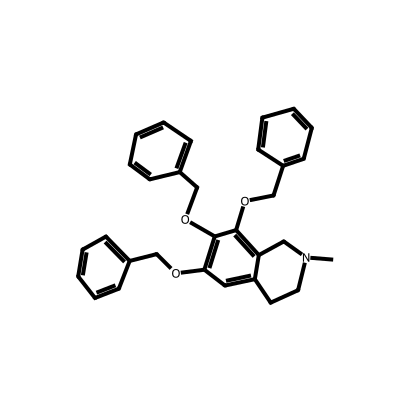 CN1CCc2cc(OCc3ccccc3)c(OCc3ccccc3)c(OCc3ccccc3)c2C1